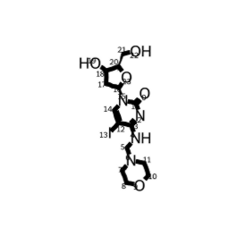 O=c1nc(NCN2CCOCC2)c(I)cn1[C@H]1CC(O)[C@@H](CO)O1